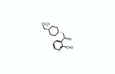 CCN(C[C@H]1CC[C@H](CC(=O)O)CC1)c1cccnc1C=O